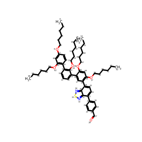 CCCCCCOc1ccc(-c2cccc(-c3cc(-c4ccc(-c5ccc(C=O)cc5)c5nsnc45)c(OCCCCCC)cc3OCCCCCC)c2OCCCCCC)c(OCCCCCC)c1